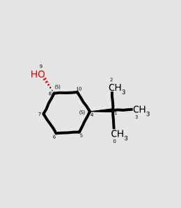 CC(C)(C)[C@H]1CCC[C@H](O)C1